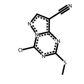 CSc1nc(Cl)n2ncc(C#N)c2n1